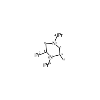 CC(C)C1CN(C(C)C)CC(C)N1C(C)C